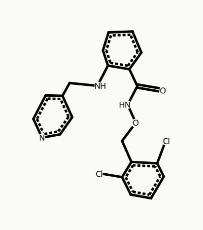 O=C(NOCc1c(Cl)cccc1Cl)c1ccccc1NCc1ccncc1